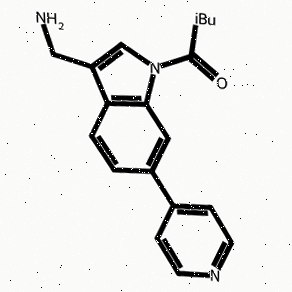 CCC(C)C(=O)n1cc(CN)c2ccc(-c3ccncc3)cc21